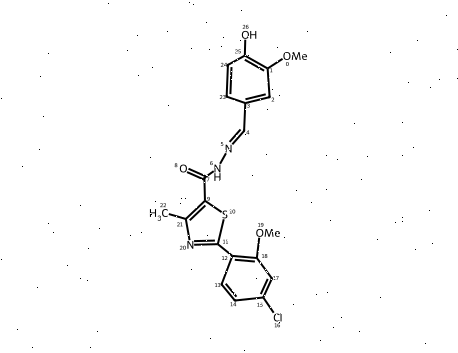 COc1cc(/C=N/NC(=O)c2sc(-c3ccc(Cl)cc3OC)nc2C)ccc1O